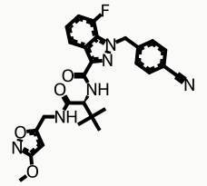 COc1cc(CNC(=O)[C@@H](NC(=O)c2nn(Cc3ccc(C#N)cc3)c3c(F)cccc23)C(C)(C)C)on1